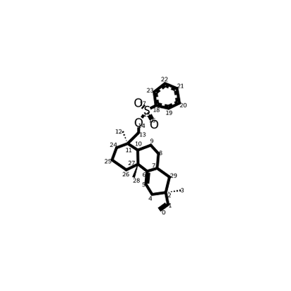 C=C[C@@]1(C)CC=C2C(CCC3[C@](C)(COS(=O)(=O)c4ccccc4)CCC[C@@]23C)C1